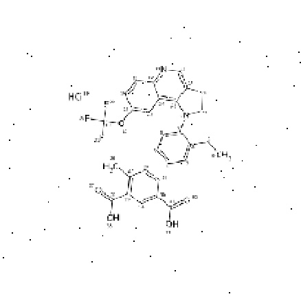 CCc1ccccc1N1CCc2cnc3ccc(OC(F)(F)F)cc3c21.Cc1ccc(C(=O)O)cc1C(=O)O.Cl